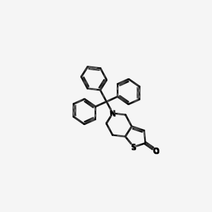 O=C1C=C2CN(C(c3ccccc3)(c3ccccc3)c3ccccc3)CCC2S1